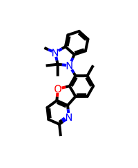 Cc1ccc2oc3c(N4c5ccccc5N(C)C4(C)C)c(C)ccc3c2n1